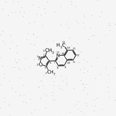 Cc1noc(C)c1-c1[c]cc2cccc(C)c2n1